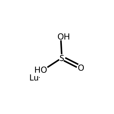 O=S(O)O.[Lu]